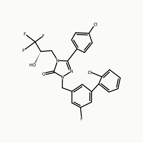 O=c1n(Cc2cc(F)cc(-c3ccccc3Cl)c2)nc(-c2ccc(Cl)cc2)n1C[C@H](O)C(F)(F)F